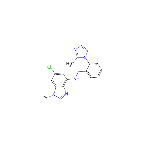 Cc1nccn1-c1ccccc1CNc1cc(Cl)cc2c1ncn2C(C)C